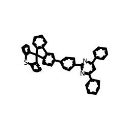 c1ccc(-c2cc(-c3ccccc3)nc(-c3ccc(-c4ccc5c(c4)-c4ccccc4C54c5ccccc5Sc5ccccc54)cc3)n2)cc1